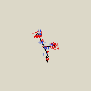 CC(=O)NC1C(OCCCCCC(=O)NCCCC[C@H](NC(=O)CCCCCOC2OC(CO)C(O)C(O)C2NC(C)=O)C(=O)NCCCCCC(=O)NCC(C)CC(C)(C)COC2CC(C)C2)OC(CO)C(O)C1O